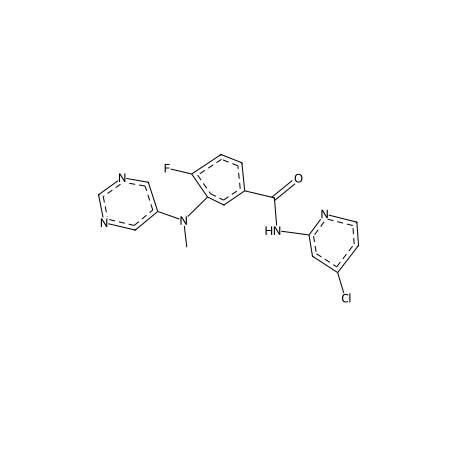 CN(c1cncnc1)c1cc(C(=O)Nc2cc(Cl)ccn2)ccc1F